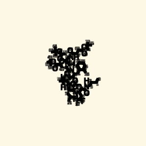 CCCCNC(=O)C(=O)C(CC(F)(F)F)NC(=O)[C@H](CC(C)C)NC(=O)[C@@H](NC(=O)[C@H](Cc1ccccc1C)NC(=O)[C@H](CCC(=O)OC(C)(C)C)NC(=O)[C@H](CC(=O)OC(C)(C)C)NC(=O)CCC(=O)OC(C)(C)C)C(C)(C)C